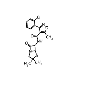 Cc1onc(-c2ccccc2Cl)c1C(=O)N[C@@H]1C(=O)N2CC(C)(C)SC12